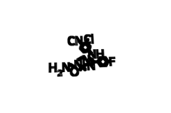 [C-]#[N+]c1ccc(Nc2c(-c3ccc(F)cc3)nc3n2CCN(C(=O)CN)C3(C)C)cc1Cl